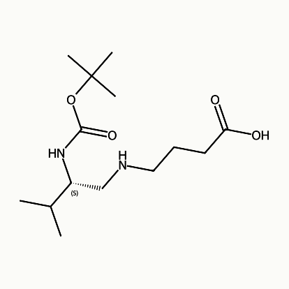 CC(C)[C@@H](CNCCCC(=O)O)NC(=O)OC(C)(C)C